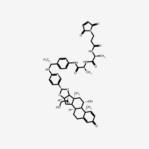 C[C@H](NC(=O)CCN1C(=O)C=CC1=O)C(=O)N[C@@H](C)C(=O)Nc1ccc([C@@H](C)Nc2ccc([C@@H]3O[C@@H]4CC5[C@@H]6CCC7=CC(=O)C=C[C@]7(C)C6[C@@H](O)C[C@]5(C)[C@]4(C(=O)CO)O3)cn2)cc1